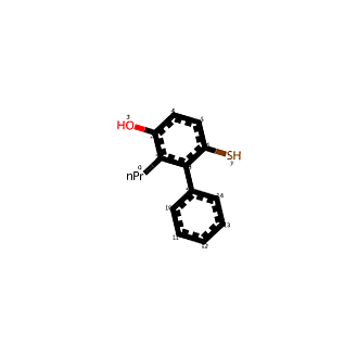 CCCc1c(O)ccc(S)c1-c1ccccc1